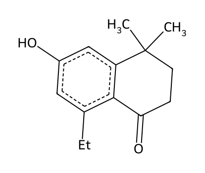 CCc1cc(O)cc2c1C(=O)CCC2(C)C